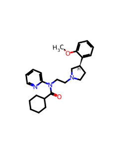 COc1ccccc1[C@H]1CCN(CCN(C(=O)C2CCCCC2)c2ccccn2)C1